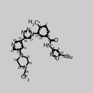 Cc1ccc(C(=O)Nc2cc(C(C)(C)C)on2)cc1-n1cc(-c2cncc(N3CCN(CC(F)(F)F)CC3)c2)nn1